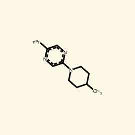 CCCc1cnc(N2CCC(C)CC2)cn1